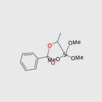 CO[Si](OC)(OC)C(C)OC(=O)c1ccccc1